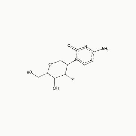 Nc1ccn(C2COC(CO)C(O)C2F)c(=O)n1